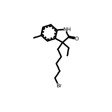 CCC1(CCCCCBr)C(=O)Nc2ccc(C)cc21